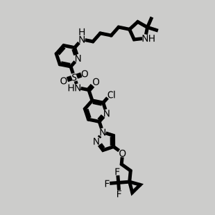 CC1(C)CC(CCCCNc2cccc(S(=O)(=O)NC(=O)c3ccc(-n4cc(OCCC5(C(F)(F)F)CC5)cn4)nc3Cl)n2)CN1